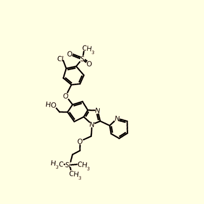 C[Si](C)(C)CCOCn1c(-c2ccccn2)nc2cc(Oc3ccc(S(C)(=O)=O)c(Cl)c3)c(CO)cc21